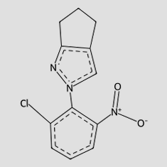 O=[N+]([O-])c1cccc(Cl)c1-n1cc2c(n1)CCC2